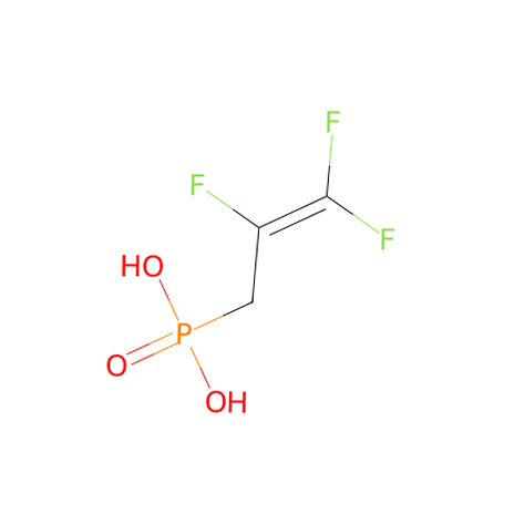 O=P(O)(O)CC(F)=C(F)F